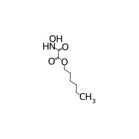 CCCCCCOC(=O)C(=O)NO